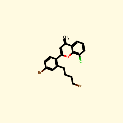 C=C1C=C(c2ccc(Br)cc2CCCCBr)Oc2c(Cl)cccc21